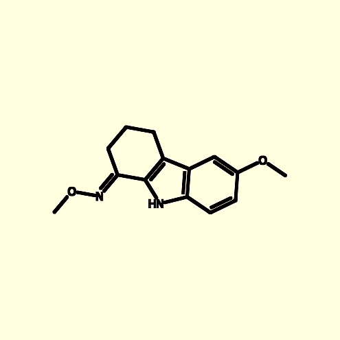 CO/N=C1\CCCc2c1[nH]c1ccc(OC)cc21